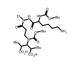 CCN(NC(=O)C(CCCCN)NC(=O)OC(C)(C)C)C(=O)CCN(C(=O)OC(C)(C)C)C(C(C(=O)O)C(C)(C)C)C(C(=O)O)C(C)(C)C